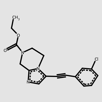 CCOC(=O)N1CCn2c(C#Cc3cccc(Cl)c3)cnc2C1